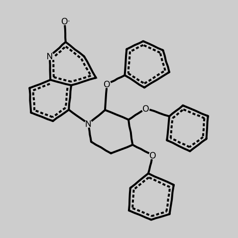 [O]c1ccc2c(N3CCC(Oc4ccccc4)C(Oc4ccccc4)C3Oc3ccccc3)cccc2n1